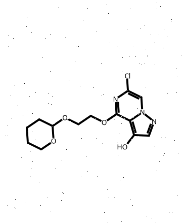 Oc1cnn2cc(Cl)nc(OCCOC3CCCCO3)c12